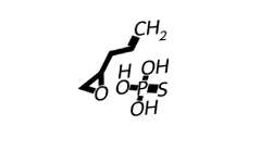 C=CCC1CO1.OP(O)(O)=S